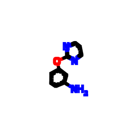 Nc1cccc(Oc2ncccn2)c1